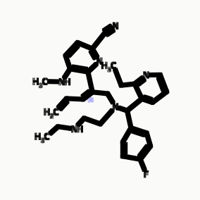 C=C/C=C(/CN(CCNCC)C(c1ccc(F)cc1)c1cccnc1CC)c1nc(C#N)ccc1NC